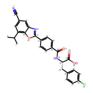 CC(C)c1cc(C#N)cc2nc(-c3ccc(C(=O)N[C@@H](Cc4ccc(Cl)cc4)C(=O)O)cc3)oc12